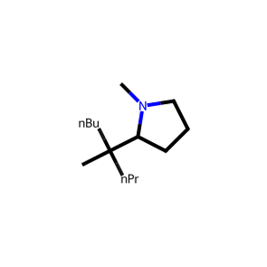 CCCCC(C)(CCC)C1CCCN1C